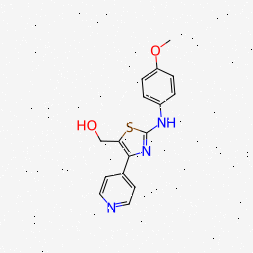 COc1ccc(Nc2nc(-c3ccncc3)c(CO)s2)cc1